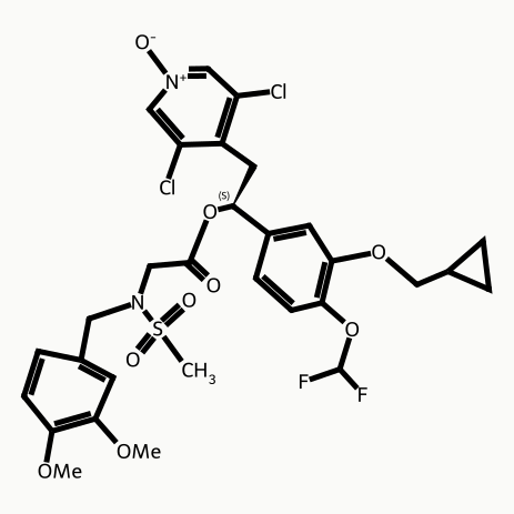 COc1ccc(CN(CC(=O)O[C@@H](Cc2c(Cl)c[n+]([O-])cc2Cl)c2ccc(OC(F)F)c(OCC3CC3)c2)S(C)(=O)=O)cc1OC